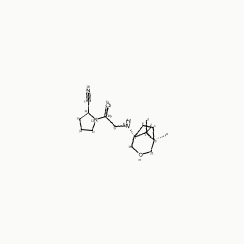 CC1(C)[C@@]2(C)CC[C@]1(NCC(=O)N1CCCC1C#N)COC2